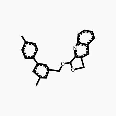 Cc1ccc(-c2cc(C)cc(COC3OCc4cc5ccccc5nc43)c2)cc1